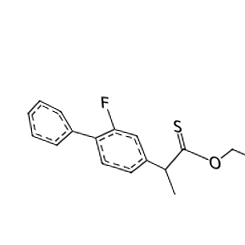 CCOC(=S)C(C)c1ccc(-c2ccccc2)c(F)c1